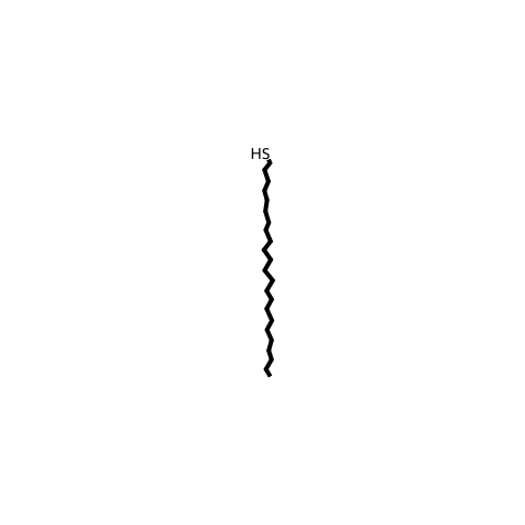 CCCCCCCCCCCCCCCCCCCCCCCS